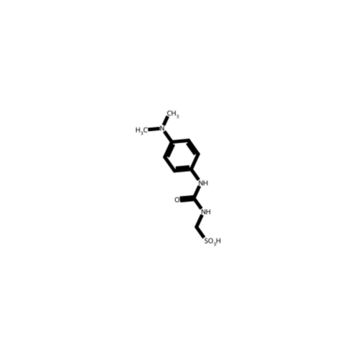 CN(C)c1ccc(NC(=O)NCS(=O)(=O)O)cc1